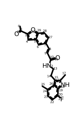 CC(=O)c1cc2cc(C=CC(=O)NCCc3c(C)[nH]c4c(F)ccc(C)c34)ccc2o1